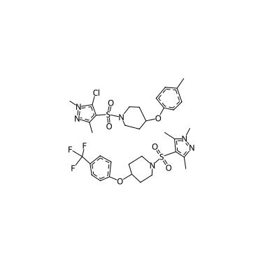 Cc1ccc(OC2CCN(S(=O)(=O)c3c(C)nn(C)c3Cl)CC2)cc1.Cc1nn(C)c(C)c1S(=O)(=O)N1CCC(Oc2ccc(C(F)(F)F)cc2)CC1